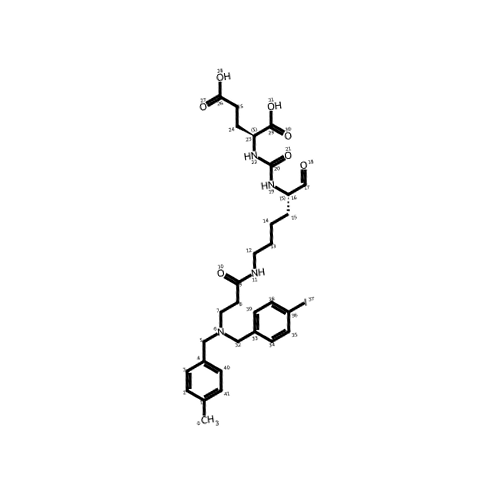 Cc1ccc(CN(CCC(=O)NCCCC[C@@H](C=O)NC(=O)N[C@@H](CCC(=O)O)C(=O)O)Cc2ccc(I)cc2)cc1